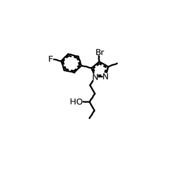 CCC(O)CCn1nc(C)c(Br)c1-c1ccc(F)cc1